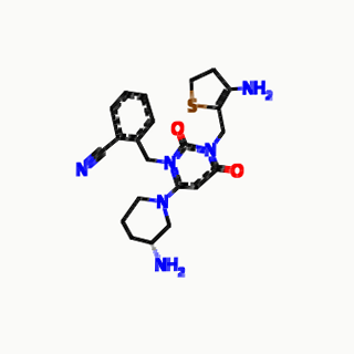 N#Cc1ccccc1Cn1c(N2CCC[C@@H](N)C2)cc(=O)n(CC2=C(N)CCS2)c1=O